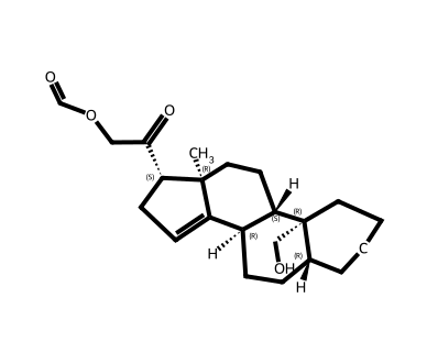 C[C@]12CC[C@H]3[C@@H](CC[C@H]4CCCC[C@@]43CO)C1=CC[C@@H]2C(=O)COC=O